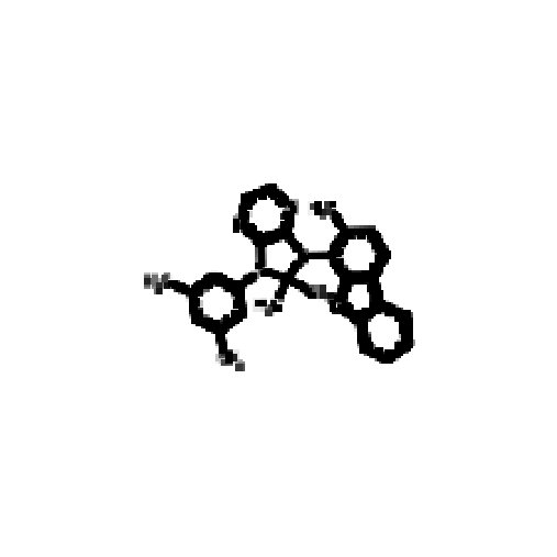 Cc1cc(C)cc(N2c3nccnc3N(c3c(C)ccc4c3oc3ccccc34)C2(C)C)c1